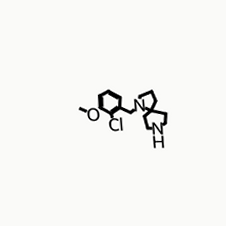 COc1cccc(CN2CCCC23CCNCC3)c1Cl